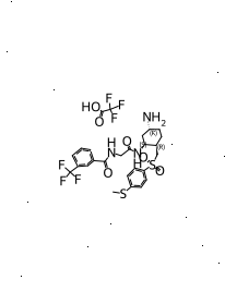 CSc1ccc(S(=O)(=O)C[C@@H]2CC[C@@H](N)C[C@@H]2NC(=O)CNC(=O)c2cccc(C(F)(F)F)c2)cc1.O=C(O)C(F)(F)F